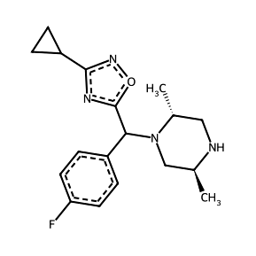 C[C@@H]1CN[C@@H](C)CN1C(c1ccc(F)cc1)c1nc(C2CC2)no1